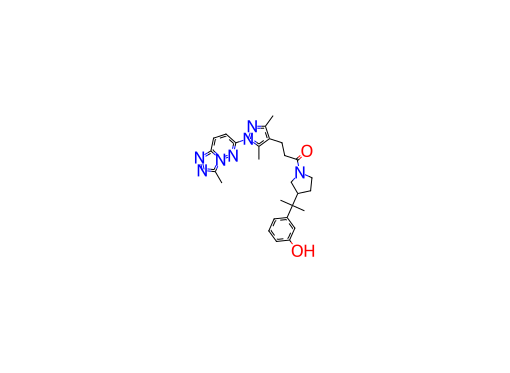 Cc1nn(-c2ccc3nnc(C)n3n2)c(C)c1CCC(=O)N1CCC(C(C)(C)c2cccc(O)c2)C1